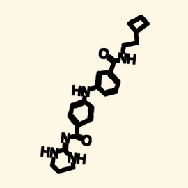 O=C(N=C1NCCCN1)c1ccc(Nc2cccc(C(=O)NCCC3CCC3)c2)cc1